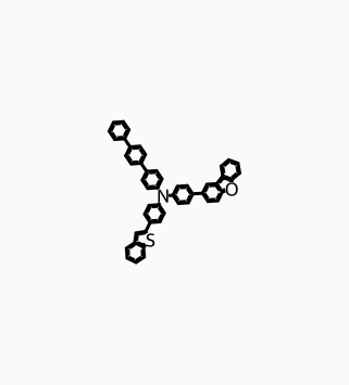 c1ccc(-c2ccc(-c3ccc(N(c4ccc(-c5ccc6oc7ccccc7c6c5)cc4)c4ccc(-c5cc6ccccc6s5)cc4)cc3)cc2)cc1